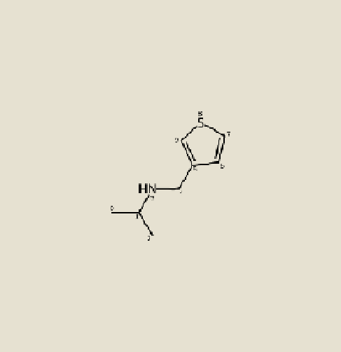 CC(C)NCc1ccsc1